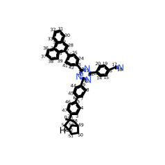 CC1(c2ccc(-c3ccc(-c4nc(-c5ccc(C#N)cc5)nc(-c5ccc(-c6cc7ccccc7c7ccccc67)cc5)n4)cc3)cc2)CC2CC[C@H](C2)C1